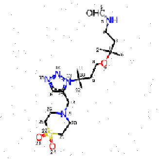 CC(C)(CCNC=O)OCCC(C)(C)n1nncc1CN1CCS(=O)(=O)CC1